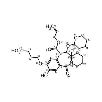 C=CCOC(=O)N1c2cc(OCCCC(=O)O)c(O)cc2C(=O)N2CCCC[C@H]2C1OC1CCCCO1